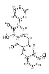 O=C1c2c(O)c(=O)c(-c3cccnc3)cn2CCN1Cc1cccc(Cl)c1F